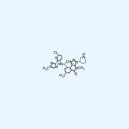 Cc1cc(C(C)Nc2ccc(Cl)nc2-c2ncn(C)n2)c2c(c1)c(=O)n(C)c1c2cnn1C1CCCNC1